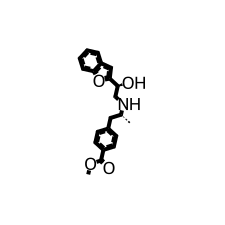 COC(=O)c1ccc(C[C@@H](C)NC[C@H](O)c2cc3ccccc3o2)cc1